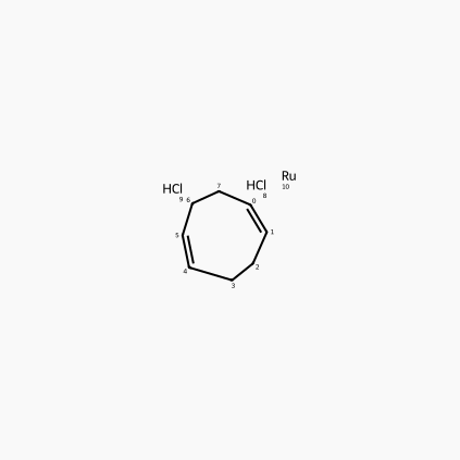 C1=CCCC=CCC1.Cl.Cl.[Ru]